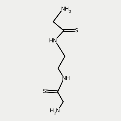 NCC(=S)NCCNC(=S)CN